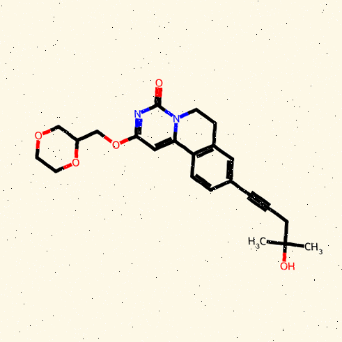 CC(C)(O)CC#Cc1ccc2c(c1)CCn1c-2cc(OCC2COCCO2)nc1=O